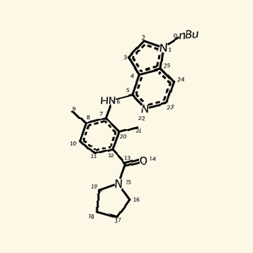 CCCCn1ccc2c(Nc3c(C)ccc(C(=O)N4CCCC4)c3C)nccc21